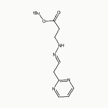 CC(C)(C)OC(=O)CCNN=CCc1ncccn1